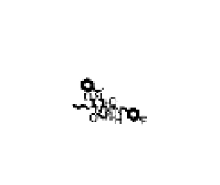 CCCC[C@H]1C(=O)N([C@H](C)c2ccccc2)C[C@H]2N1C(=O)CN(C)N2C(=O)NCc1ccc(F)cc1